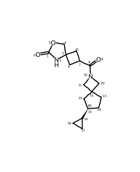 O=C1NC2(CO1)CC(C(=O)N1CC3(CC[C@@H](C4CC4)C3)C1)C2